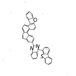 c1ccc2c(-c3cccc4c3sc3ccccc34)nc(-c3ccc4c(ccc5ccc6c(ccc7oc8ccccc8c76)c54)c3)nc2c1